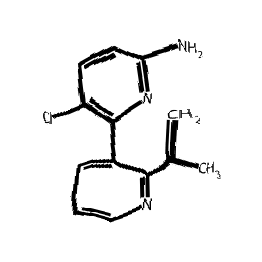 C=C(C)c1ncccc1-c1nc(N)ccc1Cl